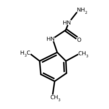 Cc1cc(C)c(NC(=O)NN)c(C)c1